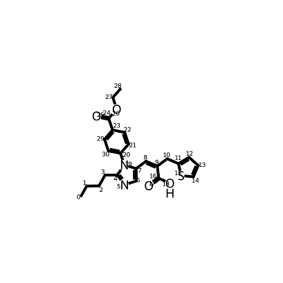 CCCCc1ncc(C=C(Cc2cccs2)C(=O)O)n1-c1ccc(C(=O)OCC)cc1